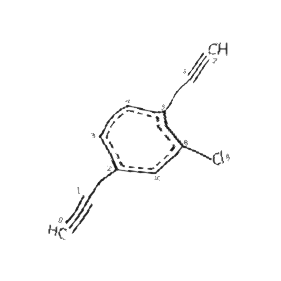 C#Cc1ccc(C#C)c(Cl)c1